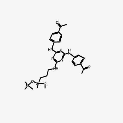 CO[Si](C)(CCCNc1nc(Nc2ccc(C(C)=O)cc2)nc(Nc2ccc(C(C)=O)cc2)n1)O[Si](C)(C)C